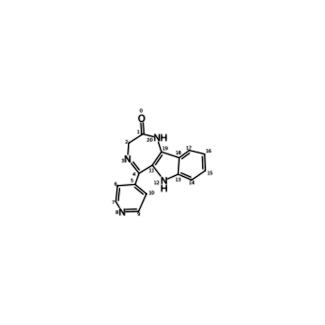 O=C1CN=C(c2ccncc2)c2[nH]c3ccccc3c2N1